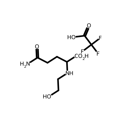 NC(=O)CCC(NCCO)C(=O)O.O=C(O)C(F)(F)F